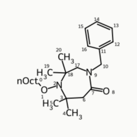 CCCCCCCCON1C(C)(C)CC(=O)N(Cc2ccccc2)CC1(C)C